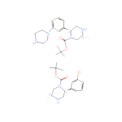 C[C@@H]1CN(C(=O)OC(C)(C)C)[C@@H](c2cccc(Br)c2)CN1.C[C@@H]1CN(C(=O)OC(C)(C)C)[C@@H](c2cccc(N3CCN(C)CC3)c2)CN1